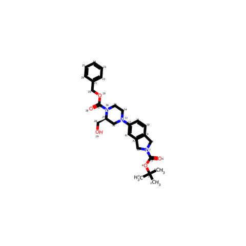 CC(C)(C)OC(=O)N1Cc2ccc(N3CCN(C(=O)OCc4ccccc4)[C@H](CO)C3)cc2C1